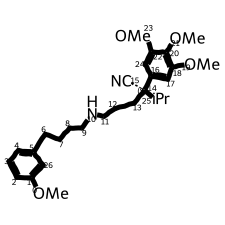 COc1cccc(CCCCNCCC[C@@](C#N)(c2cc(OC)c(OC)c(OC)c2)C(C)C)c1